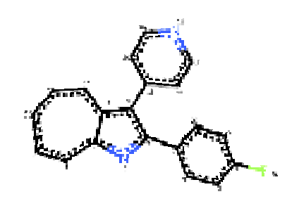 Fc1ccc(-c2nc3cccccc-3c2-c2ccncc2)cc1